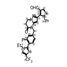 CCn1cc(C(F)(F)F)nc1-c1ccc(CN2C(=O)CCn3nc(-c4c(C=O)cnn4C(C)C)cc32)cc1F